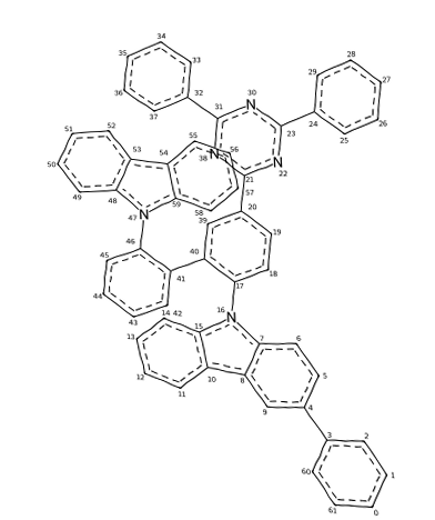 c1ccc(-c2ccc3c(c2)c2ccccc2n3-c2ccc(-c3nc(-c4ccccc4)nc(-c4ccccc4)n3)cc2-c2ccccc2-n2c3ccccc3c3ccccc32)cc1